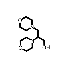 OCC(CN1CCOCC1)N1CCOCC1